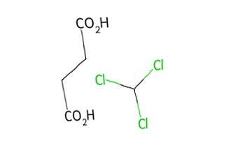 ClC(Cl)Cl.O=C(O)CCC(=O)O